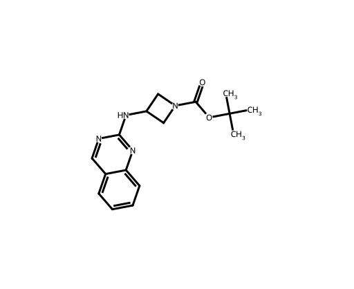 CC(C)(C)OC(=O)N1CC(Nc2ncc3ccccc3n2)C1